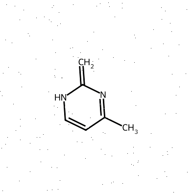 C=C1N=C(C)C=CN1